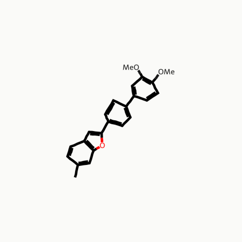 COc1ccc(-c2ccc(-c3cc4ccc(C)cc4o3)cc2)cc1OC